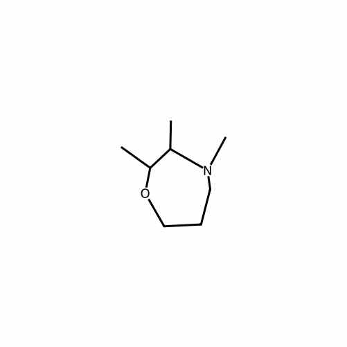 CC1OCCCN(C)C1C